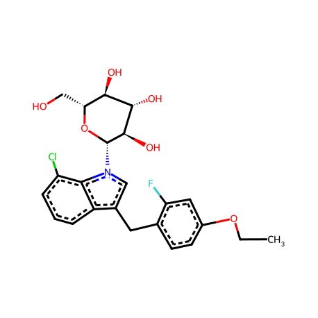 CCOc1ccc(Cc2cn([C@@H]3O[C@H](CO)[C@@H](O)[C@H](O)[C@H]3O)c3c(Cl)cccc23)c(F)c1